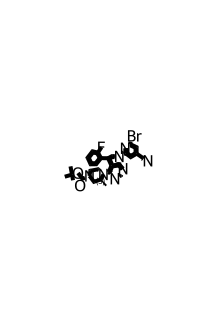 C[C@H]1CN(C(=O)OC(C)(C)C)CCN1c1ncnc2c1c(-c1ccccc1F)cn2-c1cc(C#N)cc(Br)n1